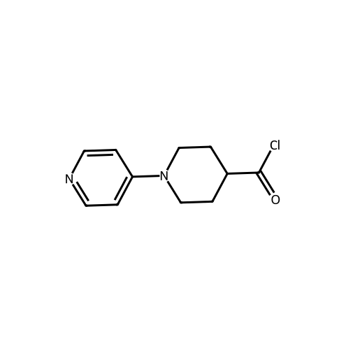 O=C(Cl)C1CCN(c2ccncc2)CC1